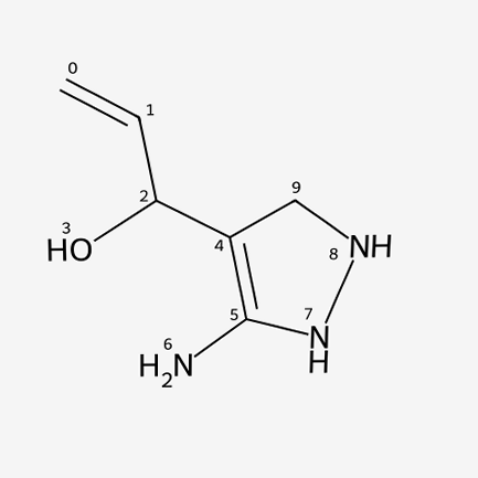 C=CC(O)C1=C(N)NNC1